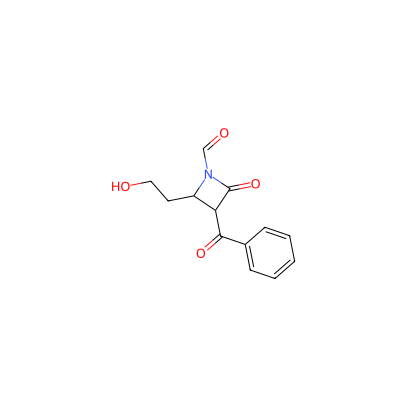 O=CN1C(=O)C(C(=O)c2ccccc2)C1CCO